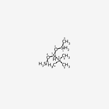 C[SiH2]O[SiH](O[SiH3])[Si](C)(C)C